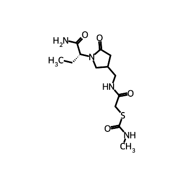 CC[C@H](C(N)=O)N1CC(CNC(=O)CSC(=O)NC)CC1=O